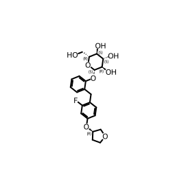 OC[C@H]1O[C@@H](Oc2ccccc2Cc2ccc(O[C@@H]3CCOC3)cc2F)[C@H](O)[C@@H](O)[C@@H]1O